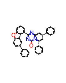 O=c1nc(-c2cccc3oc4ccc(-c5ccccc5)cc4c23)nc2cc(-c3ccccc3)cc(-c3ccccc3)n12